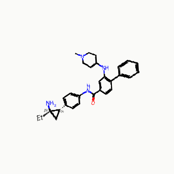 CC[C@]1(N)C[C@H]1c1ccc(NC(=O)c2ccc(-c3ccccc3)c(NC3CCN(C)CC3)c2)cc1